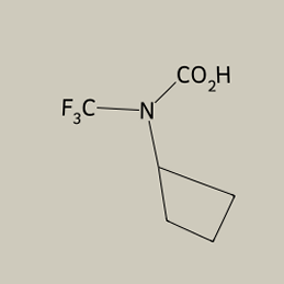 O=C(O)N(C1CCC1)C(F)(F)F